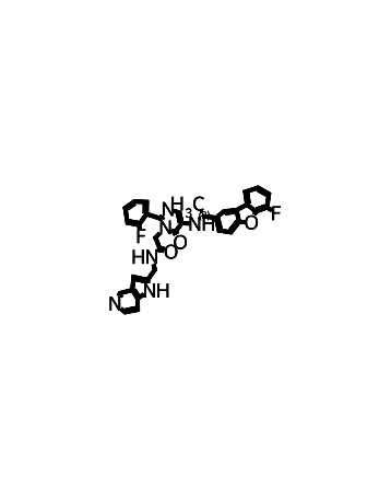 C[C@@H](Nc1cnc(-c2ccccc2F)n(CC(=O)NCc2cc3cnccc3[nH]2)c1=O)c1ccc2oc3c(F)cccc3c2c1